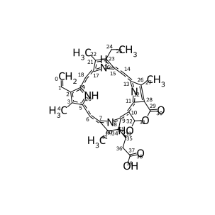 C=Cc1c(C)c2cc3nc(c4c5nc(cc6[nH]c(cc1[nH]2)c(C)c6CC)C(C)=C5C(=O)OC4O)[C@@H](CCC(=O)O)[C@@H]3C